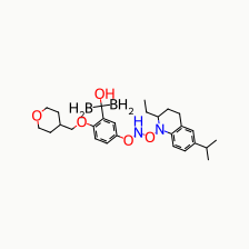 BC(B)(O)c1cc(ONON2c3ccc(C(C)C)cc3CCC2CC)ccc1OCC1CCOCC1